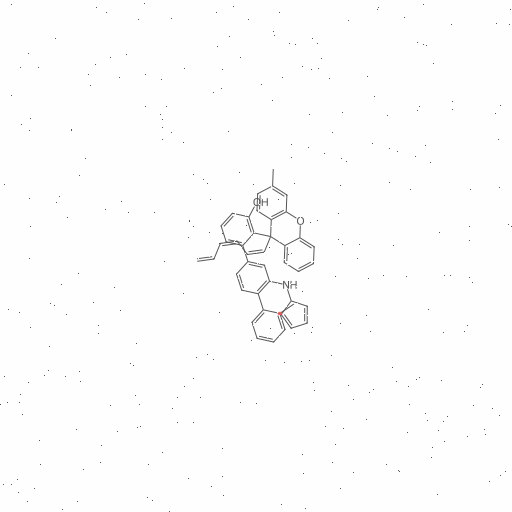 C=C/C=C\C=C/C1(c2c(O)cccc2-c2ccc(-c3ccccc3C)c(NC3C=CC=C3)c2)c2ccccc2Oc2cc(C)ccc21